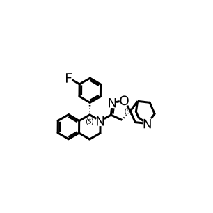 Fc1cccc([C@H]2c3ccccc3CCN2C2=NO[C@]3(C2)CN2CCC3CC2)c1